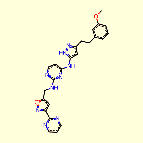 COc1cccc(CCc2cc(Nc3ccnc(NCc4cc(-c5ncccn5)no4)n3)[nH]n2)c1